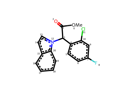 COC(=O)C(c1ccc(F)cc1Cl)n1ccc2ccccc21